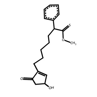 COC(=S)C(CCCCCC1=CC(O)CC1=O)c1ccccc1